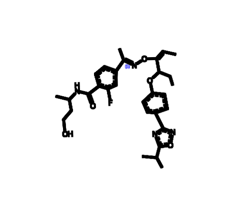 CC=C(O/N=C(\C)c1ccc(C(=O)NC(C)CCO)c(F)c1)C(CC)Oc1ccc(-c2noc(C(C)C)n2)cc1